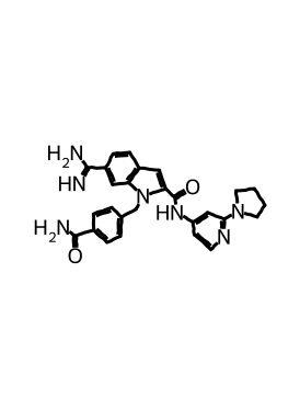 N=C(N)c1ccc2cc(C(=O)Nc3ccnc(N4CCCC4)c3)n(Cc3ccc(C(N)=O)cc3)c2c1